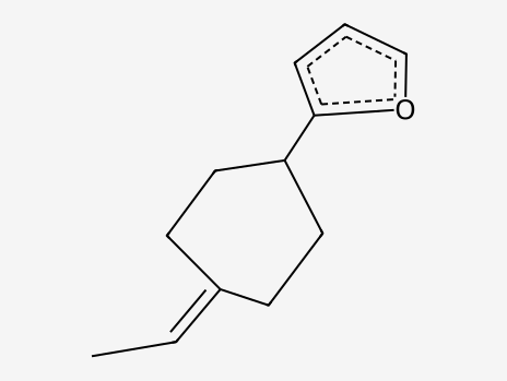 CC=C1CCC(c2ccco2)CC1